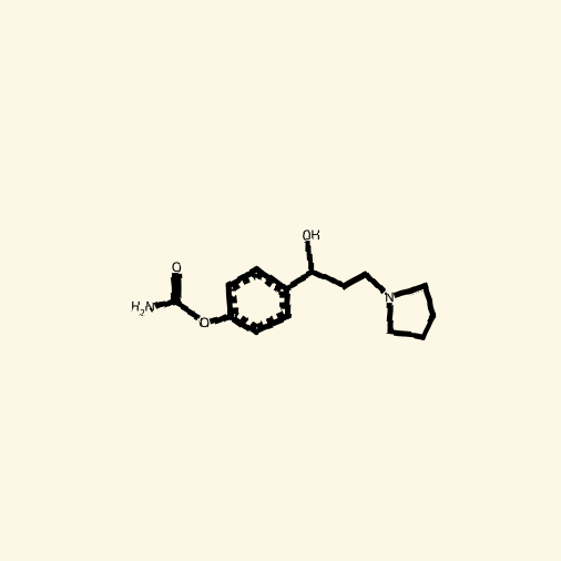 NC(=O)Oc1ccc(C(O)[CH]CN2CCCC2)cc1